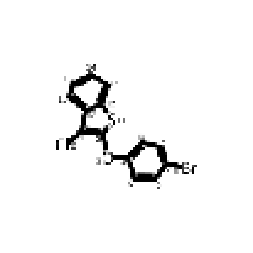 Clc1c(Oc2ccc(Br)cc2)sc2ccccc12